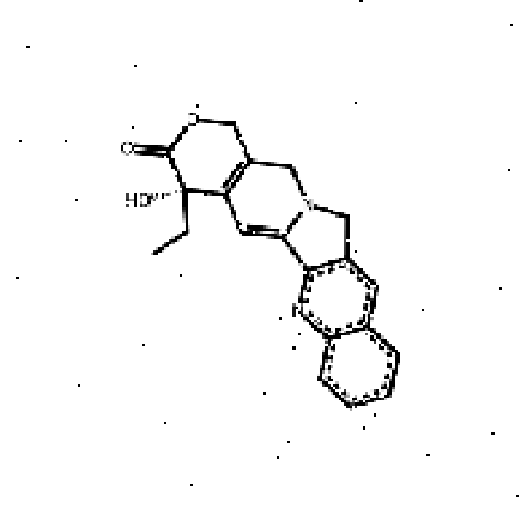 CC[C@@]1(O)C(=O)OCC2=C1C=C1c3nc4ccccc4cc3CN1C2